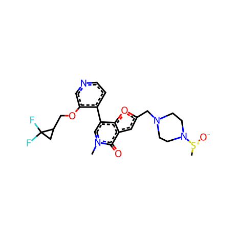 Cn1cc(-c2ccncc2OCC2CC2(F)F)c2oc(CN3CCN([S+](C)[O-])CC3)cc2c1=O